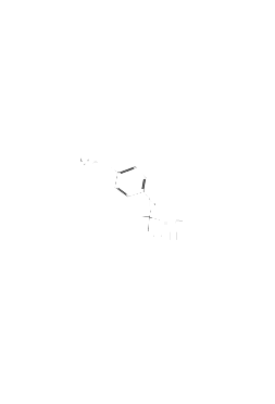 CCCCCC(C=O)(Nc1ccc(OC)cc1)C(=O)O